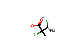 CC(Cl)(CCl)C(=O)O.[Na]